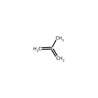 C=I(=C)C